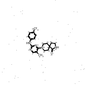 Cc1cnc(Nc2ccc(C(F)(F)F)cc2)nc1N1CCC2(CCNC2=O)CC1